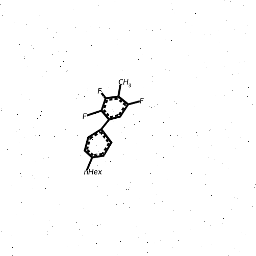 CCCCCCc1ccc(-c2cc(F)c(C)c(F)c2F)cc1